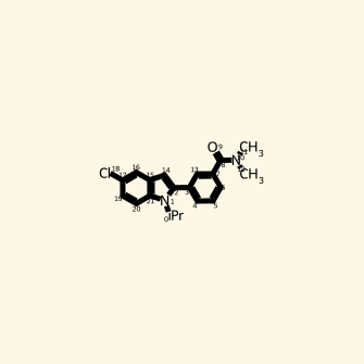 CC(C)n1c(-c2cccc(C(=O)N(C)C)c2)cc2cc(Cl)ccc21